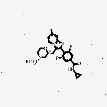 CCOC(=O)N1CCO[C@@H](Cc2c(-c3c(F)cc(C(=O)NC4CC4)cc3F)nc3cc(C)ccn23)C1